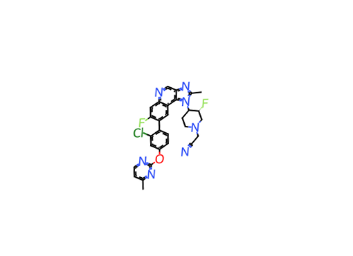 Cc1ccnc(Oc2ccc(-c3cc4c(cc3F)ncc3nc(C)n(C5CCN(CC#N)C[C@H]5F)c34)c(Cl)c2)n1